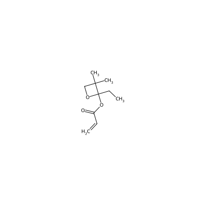 C=CC(=O)OC1(CC)OCC1(C)C